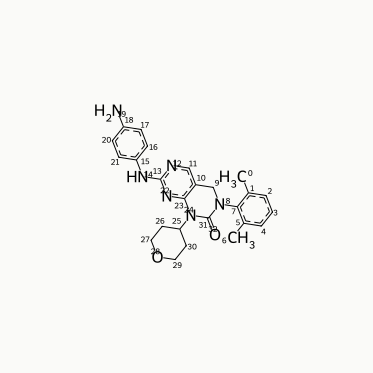 Cc1cccc(C)c1N1Cc2cnc(Nc3ccc(N)cc3)nc2N(C2CCOCC2)C1=O